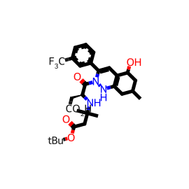 CC1CC2=C(C=C(c3cccc(C(F)(F)F)c3)N(C(=O)[C@H](CC(=O)O)NC(C)(C)CC(=O)OC(C)(C)C)N2)C(O)C1